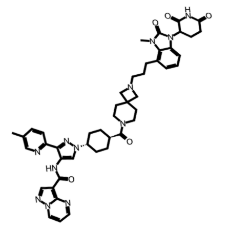 Cc1ccc(-c2nn([C@H]3CC[C@H](C(=O)N4CCC5(CC4)CN(CCCc4cccc6c4n(C)c(=O)n6C4CCC(=O)NC4=O)C5)CC3)cc2NC(=O)c2cnn3cccnc23)nc1